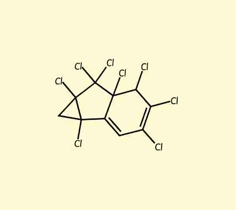 ClC1=C(Cl)C(Cl)C2(Cl)C(=C1)C1(Cl)CC1(Cl)C2(Cl)Cl